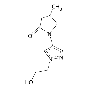 CC1CC(=O)N(c2cnn(CCO)c2)C1